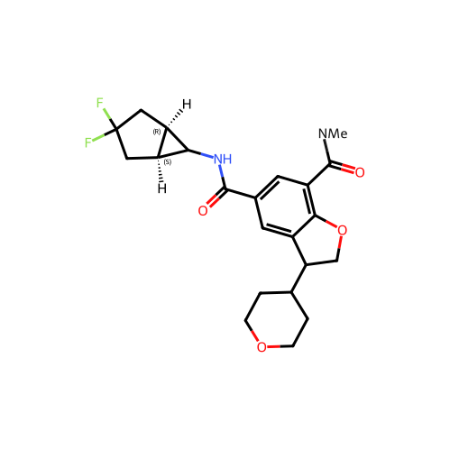 CNC(=O)c1cc(C(=O)NC2[C@H]3CC(F)(F)C[C@@H]23)cc2c1OCC2C1CCOCC1